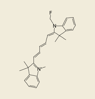 C[N+]1=C(/C=C/C=C/C=C2/N(CF)c3ccccc3C2(C)C)C(C)(C)c2ccccc21